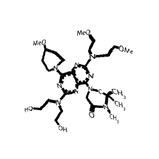 COCCN(CCOC)c1nc(N2CC(=O)N(C)C(C)(C)C2)c2nc(N(CCO)CCO)nc(N3CCC(OC)CC3)c2n1